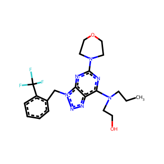 CCCN(CCO)c1nc(N2CCOCC2)nc2c1nnn2Cc1ccccc1C(F)(F)F